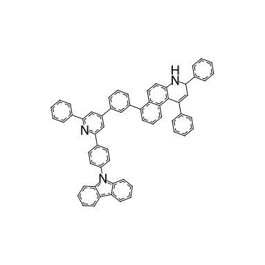 C1=C(c2ccccc2)c2c(ccc3c(-c4cccc(-c5cc(-c6ccccc6)nc(-c6ccc(-n7c8ccccc8c8ccccc87)cc6)c5)c4)cccc23)NC1c1ccccc1